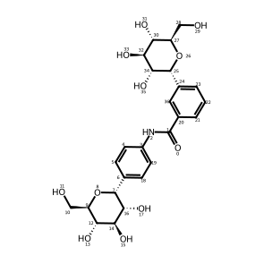 O=C(Nc1ccc([C@H]2O[C@H](CO)[C@@H](O)[C@H](O)[C@H]2O)cc1)c1cccc([C@H]2O[C@H](CO)[C@@H](O)[C@H](O)[C@H]2O)c1